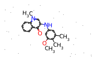 COc1cc(Nc2cn(C)c3ccccc3c2=O)cc(C)c1C